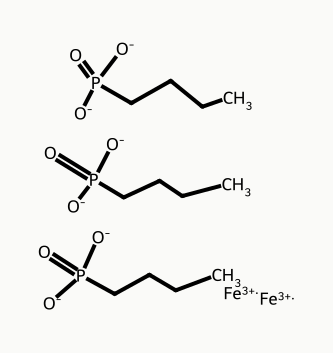 CCCCP(=O)([O-])[O-].CCCCP(=O)([O-])[O-].CCCCP(=O)([O-])[O-].[Fe+3].[Fe+3]